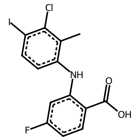 Cc1c(Nc2cc(F)ccc2C(=O)O)ccc(I)c1Cl